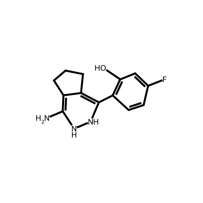 NC1=C2CCCC2=C(c2ccc(F)cc2O)NN1